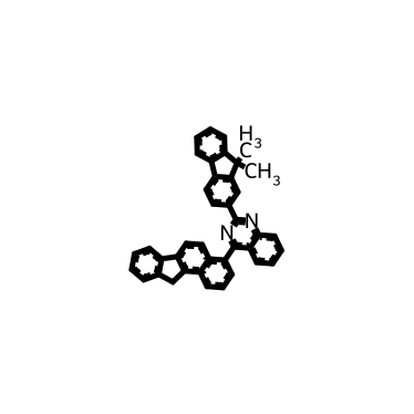 CC1(C)c2ccccc2-c2ccc(-c3nc(-c4cccc5c6c(ccc45)-c4ccccc4C6)c4ccccc4n3)cc21